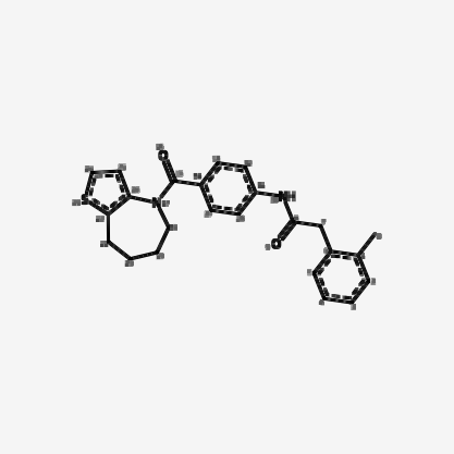 Cc1ccccc1CC(=O)Nc1ccc(C(=O)N2CCCCc3sccc32)cc1